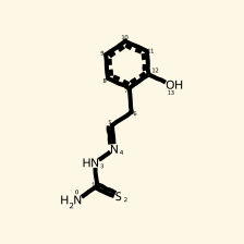 NC(=S)NN=CCc1ccccc1O